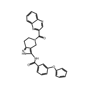 O=C(Nc1[nH]nc2c1CN(C(=O)c1cnc3ccccc3n1)CC2)c1cccc(Oc2ccccc2)c1